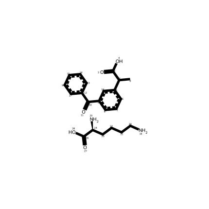 CC(C(=O)O)c1cccc(C(=O)c2ccccc2)c1.NCCCC[C@H](N)C(=O)O